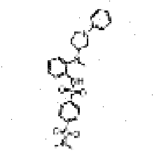 CN(c1ccccc1NS(=O)(=O)c1ccc(S(=O)(=O)N(C)C)cc1)C1CCN(c2ccccc2)C1